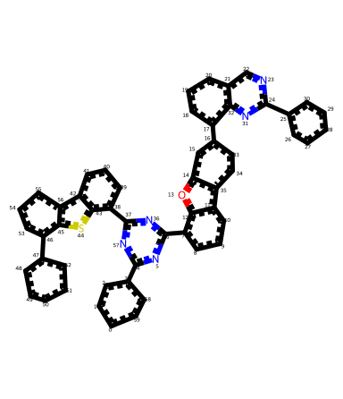 c1ccc(-c2nc(-c3cccc4c3oc3cc(-c5cccc6cnc(-c7ccccc7)nc56)ccc34)nc(-c3cccc4c3sc3c(-c5ccccc5)cccc34)n2)cc1